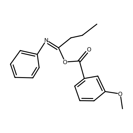 CCCC(=Nc1ccccc1)OC(=O)c1cccc(OC)c1